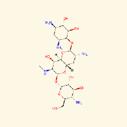 CN[C@@H]1[C@H](O[C@H]2O[C@H](CO)[C@@H](N)[C@H](O)[C@H]2O)O[C@H]2C[C@@H](N)[C@H](O[C@@H]3[C@H](O)[C@@H](O)[C@H](N)C[C@@H]3N)O[C@@H]2[C@@H]1O